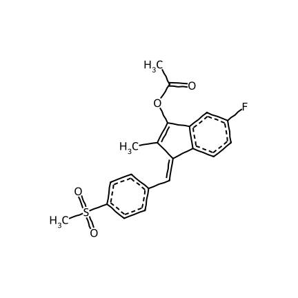 CC(=O)OC1=C(C)/C(=C\c2ccc(S(C)(=O)=O)cc2)c2ccc(F)cc21